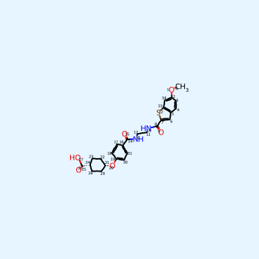 COc1ccc2cc(C(=O)NCCNC(=O)c3ccc(O[C@H]4CC[C@@H](C(=O)O)CC4)cc3)sc2c1